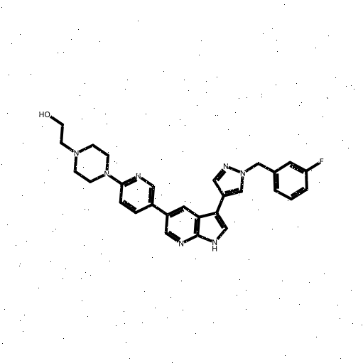 OCCN1CCN(c2ccc(-c3cnc4[nH]cc(-c5cnn(Cc6cccc(F)c6)c5)c4c3)cn2)CC1